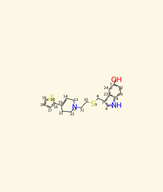 Oc1ccc2[nH]cc(CSCCN3CC=C(c4cccs4)CC3)c2c1